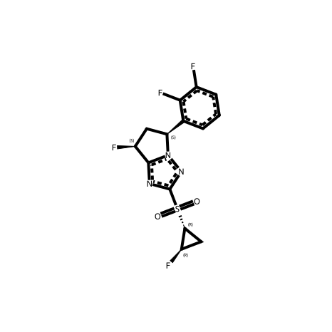 O=S(=O)(c1nc2n(n1)[C@H](c1cccc(F)c1F)C[C@@H]2F)[C@@H]1C[C@H]1F